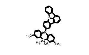 Cc1ccc2c(c1)[Si](C)(C)c1cc(C)ccc1N2c1ccc2c(c1)c1cccc3c4ccccc4n2c31